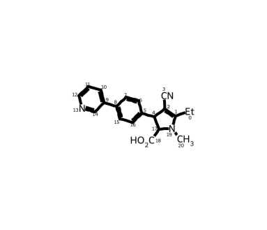 CCC1=C(C#N)C(c2ccc(-c3cccnc3)cc2)C(C(=O)O)N1C